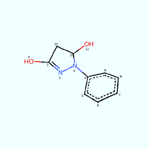 OC1=NN(c2ccccc2)C(O)C1